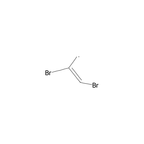 [CH2]/C(Br)=C\Br